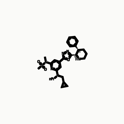 CCCN(CC1CC1)c1cc(-c2nnc([C@H]3NCCC[C@H]3c3ccccc3)o2)cc(N(C)S(C)(=O)=O)n1